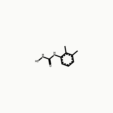 [CH2]c1c(C)cccc1NC(=O)NS